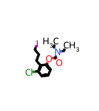 CCN(CC)C(=O)Oc1cccc(Cl)c1CCCI